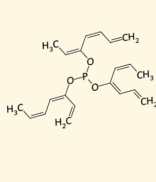 C=C/C=C\C(=C/C)OP(O/C(C=C)=C/C=C\C)OC(/C=C\C)=C/C=C